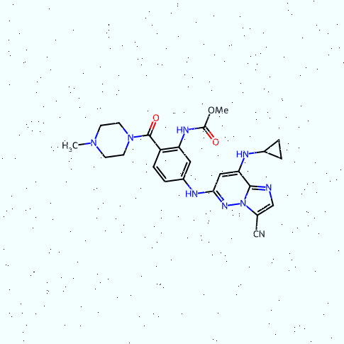 COC(=O)Nc1cc(Nc2cc(NC3CC3)c3ncc(C#N)n3n2)ccc1C(=O)N1CCN(C)CC1